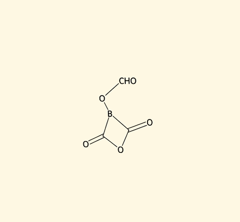 O=COB1C(=O)OC1=O